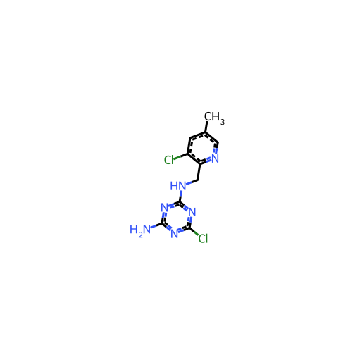 Cc1cnc(CNc2nc(N)nc(Cl)n2)c(Cl)c1